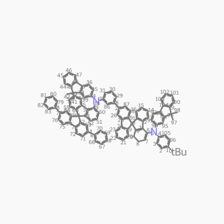 CC(C)(C)c1ccc(N(C2=CCCC3=C2c2ccccc2C32c3ccccc3-c3cc(-c4cccc(N(c5ccc6c(c5)C(C)(C)c5ccccc5-6)c5cccc6c5-c5ccccc5C65c6cc(-c7ccccc7)ccc6-c6ccc(-c7ccccc7)cc65)c4)ccc32)c2ccc3c(c2)C(C)(C)c2ccccc2-3)cc1